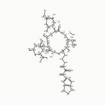 CC[C@H]1OC(=O)[C@H](C)[C@@H](O[C@@H](CCOC)O[C@@H](C)[C@@H](C)O)[C@H](C)[C@@H](O[C@@H]2O[C@H](C)C[C@H](N(C)C)[C@H]2O)[C@](C)(O)C[C@@H](C)CN(CCCNC(=O)Nc2ccc3c(c2)OCO3)[C@H](C)[C@@H](O)[C@]1(C)O